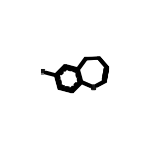 Fc1ccc2c(c1)CCC=CO2